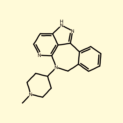 CN1CCC(N2Cc3ccccc3-c3n[nH]c4ccnc2c34)CC1